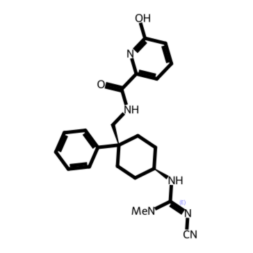 CN/C(=N\C#N)N[C@H]1CC[C@](CNC(=O)c2cccc(O)n2)(c2ccccc2)CC1